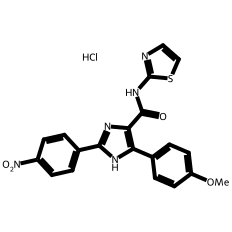 COc1ccc(-c2[nH]c(-c3ccc([N+](=O)[O-])cc3)nc2C(=O)Nc2nccs2)cc1.Cl